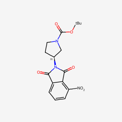 CC(C)(C)OC(=O)N1CC[C@H](N2C(=O)c3cccc([N+](=O)[O-])c3C2=O)C1